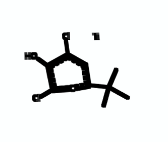 CC(C)(C)c1cc(Cl)c(O)c(Cl)c1.[Ti]